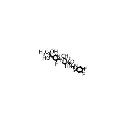 CC1CN(C(=O)Nc2nc3cc(F)c(F)cc3s2)CCN1c1ncc([C@H](O)[C@H](C)O)cc1F